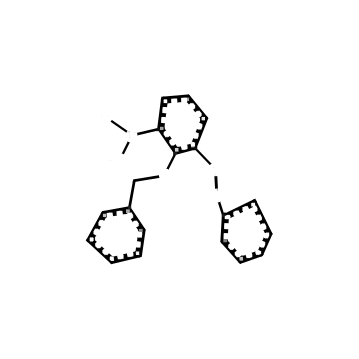 OB(O)c1cccc(SCc2ccccc2)c1SCc1ccccc1